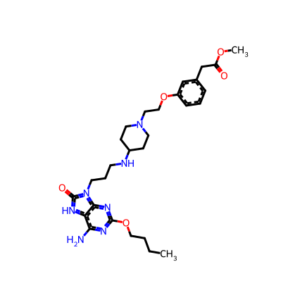 CCCCOc1nc(N)c2[nH]c(=O)n(CCCNC3CCN(CCOc4cccc(CC(=O)OC)c4)CC3)c2n1